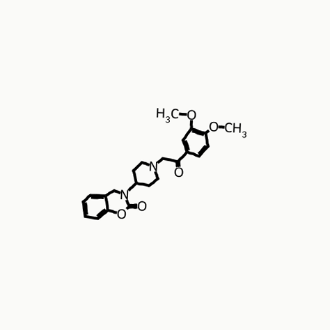 COc1ccc(C(=O)CN2CCC(N3Cc4ccccc4OC3=O)CC2)cc1OC